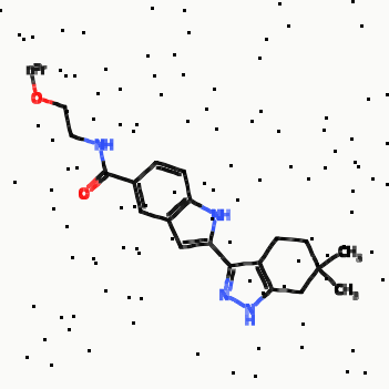 CCCOCCNC(=O)c1ccc2[nH]c(-c3n[nH]c4c3CCC(C)(C)C4)cc2c1